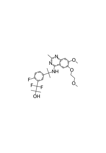 COCCOc1cc2c(NC(C)(C)c3ccc(F)c(C(F)(F)C(C)(C)O)c3)nc(C)nc2cc1OC